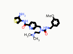 COc1cccc(CNC(=O)N(CCN(C)C)Cc2ccc(C(=O)Nc3cscc3N)nc2)c1